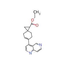 CCOC(=O)C1CC12CC=C(c1ccnc3ccncc13)CC2